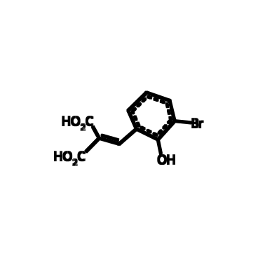 O=C(O)C(=Cc1cccc(Br)c1O)C(=O)O